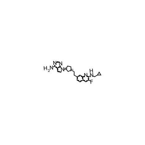 Nc1ncnc2c1ccn2[C@H]1CC[C@@H](CCc2ccc3cc(F)c(NCC4CC4)nc3c2)C1